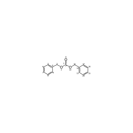 O=S(OCc1ccccc1)OCc1ccccc1